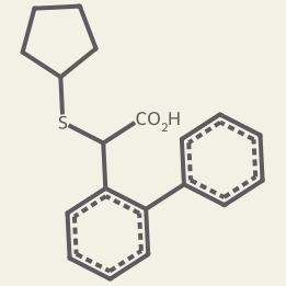 O=C(O)C(SC1CCCC1)c1ccccc1-c1ccccc1